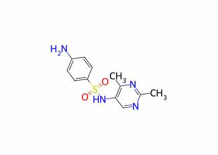 Cc1ncc(NS(=O)(=O)c2ccc(N)cc2)c(C)n1